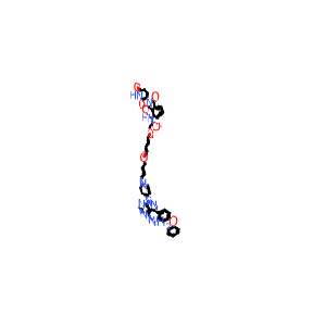 Nc1ncnc2c1c(-c1ccc(Oc3ccccc3)cc1)nn2C1CCN(CCCCOCCCCOCC(=O)Nc2cccc3c2C(=O)N(C2CCC(=O)NC2=O)C3=O)CC1